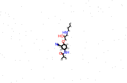 CCCCNCC(O)COc1ccc(NC(=O)C(C)C)cc1C#N